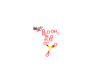 O.O.O.O.O.O.O=S([O-])[O-].[Mg+2]